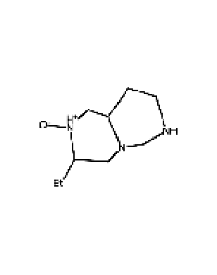 CCC1CN2CNCCC2C[NH+]1[O-]